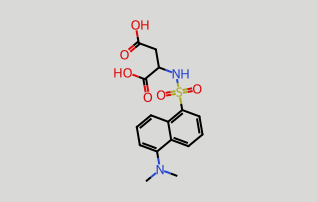 CN(C)c1cccc2c(S(=O)(=O)NC(CC(=O)O)C(=O)O)cccc12